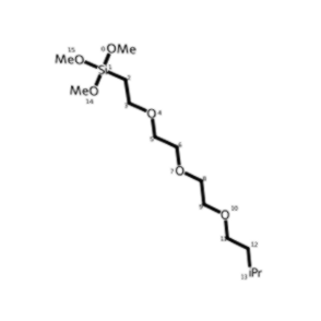 CO[Si](CCOCCOCCOCCC(C)C)(OC)OC